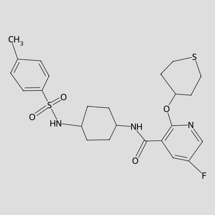 Cc1ccc(S(=O)(=O)NC2CCC(NC(=O)c3cc(F)cnc3OC3CCSCC3)CC2)cc1